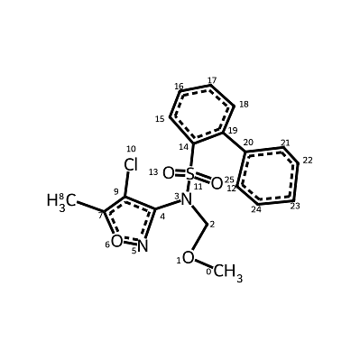 COCN(c1noc(C)c1Cl)S(=O)(=O)c1ccccc1-c1ccccc1